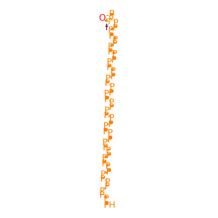 [O-][S+](I)P(#P)\P=P/P=P\P=P/P=P\P=P/P=P\P=P/P=P\P=P/P=P\P=P/P=P\P=P/P=P\P=P/P=P\P=P/P=P\P=P/P=P\P=P/P=P\P=P